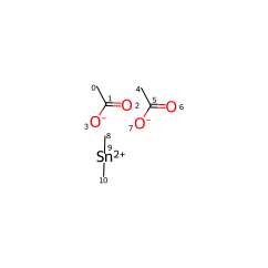 CC(=O)[O-].CC(=O)[O-].[CH3][Sn+2][CH3]